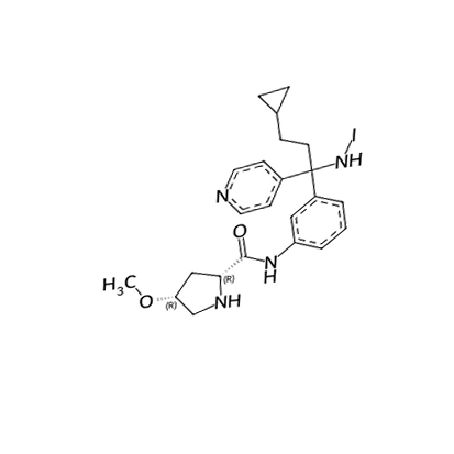 CO[C@H]1CN[C@@H](C(=O)Nc2cccc(C(CCC3CC3)(NI)c3ccncc3)c2)C1